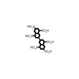 O=S(=O)(O)c1cc(S(=O)(=O)O)c2cc(-c3cc(S(=O)(=O)O)c4cc(S(=O)(=O)O)cc(S(=O)(=O)O)c4c3)[c]c(S(=O)(=O)O)c2c1